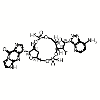 Nc1ccnc2c1nnn2[C@@H]1O[C@@H]2COP(=O)(S)O[C@@H]3C[C@@H](COP(=O)(S)O[C@H]2[C@@H]1F)O[C@H]3n1cnc2c(=O)n3cc[nH]c3nc21